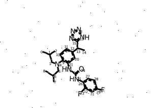 CC(C)CN(CC(C)C)c1ccc(C(C)c2nnn[nH]2)cc1NC(=O)Nc1ccc(F)cc1F